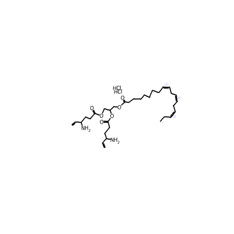 C=CC(N)CCC(=O)OCC(COC(=O)CCCCCCC/C=C\C/C=C\C/C=C\CC)OC(=O)CCC(N)C=C.Cl.Cl